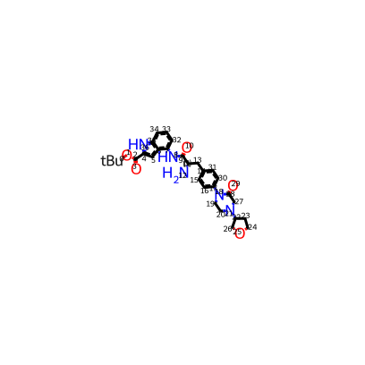 CC(C)(C)OC(=O)c1cc2c(NC(=O)[C@@H](N)Cc3ccc(N4CCN(C5CCOC5)CC4=O)cc3)cccc2[nH]1